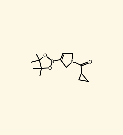 CC1(C)OB(C2=CCN(C(=O)C3CC3)C2)OC1(C)C